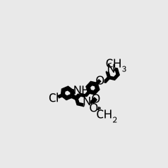 C=COC(=O)N1CCc2c([nH]c3ccc(Cl)cc23)C1c1ccc(OCC2CCCN(C)C2)cc1